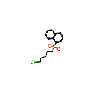 O=S(=O)(CCCCCCl)c1cccc2ccccc12